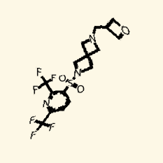 O=S(=O)(c1ccc(C(F)(F)F)nc1C(F)(F)F)N1CC2(CN(CC3COC3)C2)C1